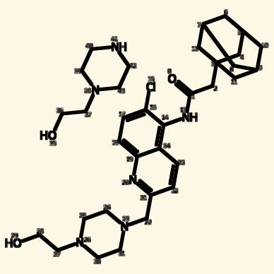 O=C(CC12CC3CC(CC(C3)C1)C2)Nc1c(Cl)ccc2nc(CN3CCN(CCO)CC3)ccc12.OCCN1CCNCC1